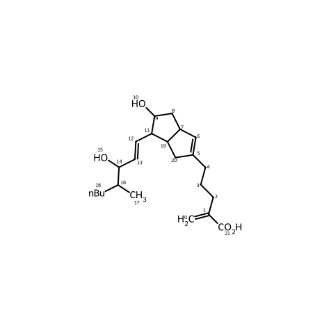 C=C(CCCC1=CC2CC(O)C(C=CC(O)C(C)CCCC)C2C1)C(=O)O